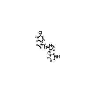 Clc1ccc(C2(COc3nsnc3OC3CCCNC3)CC2)cc1